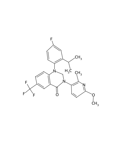 COc1ccc(N2CN(c3ccc(F)cc3C(C)C)c3ccc(C(F)(F)F)cc3C2=O)c(C)n1